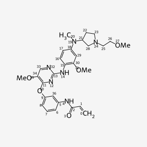 C=CC(=O)Nc1cccc(Oc2nc(Nc3ccc(N(C)C4CCN(CCOC)C4)cc3OC)ncc2OC)c1